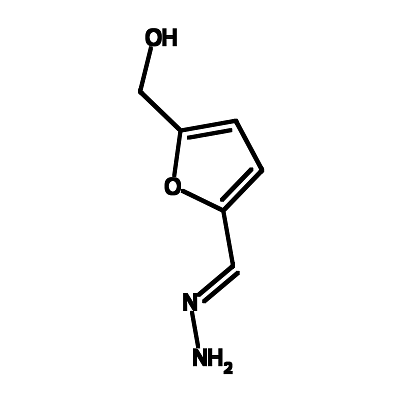 NN=Cc1ccc(CO)o1